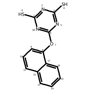 Sc1nc(S)nc(Oc2cccc3ccccc23)n1